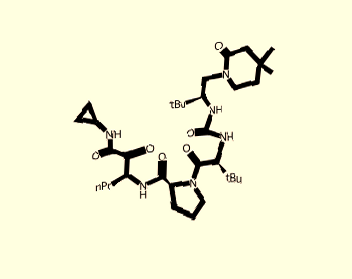 CCCC(NC(=O)[C@@H]1CCCN1C(=O)[C@@H](NC(=O)N[C@H](CN1CCC(C)(C)CC1=O)C(C)(C)C)C(C)(C)C)C(=O)C(=O)NC1CC1